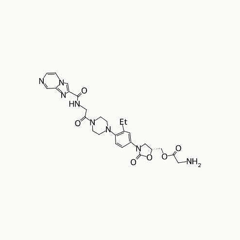 CCc1cc(N2C[C@H](COC(=O)CN)OC2=O)ccc1N1CCN(C(=O)CNC(=O)c2cn3ccncc3n2)CC1